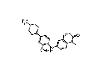 COc1cc(N2CCC(C(F)(F)F)CC2)ccc1Nc1ccc2c(c1)OCC(=O)N2C